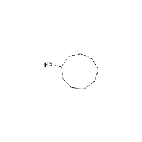 OC1C[CH]CCCCCC1